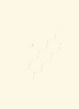 COc1ccc2nc3c(C)c(C)c(OC)cc3c(C(=O)O)c2c1